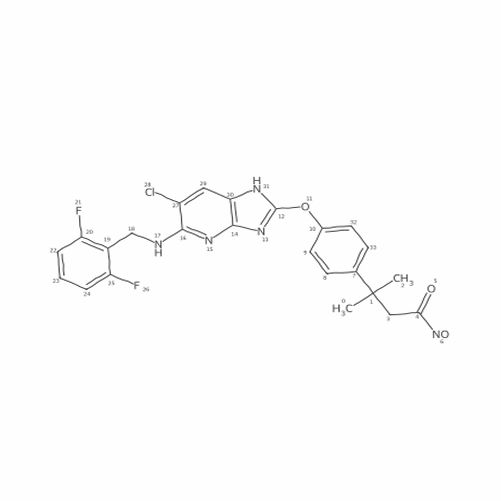 CC(C)(CC(=O)N=O)c1ccc(Oc2nc3nc(NCc4c(F)cccc4F)c(Cl)cc3[nH]2)cc1